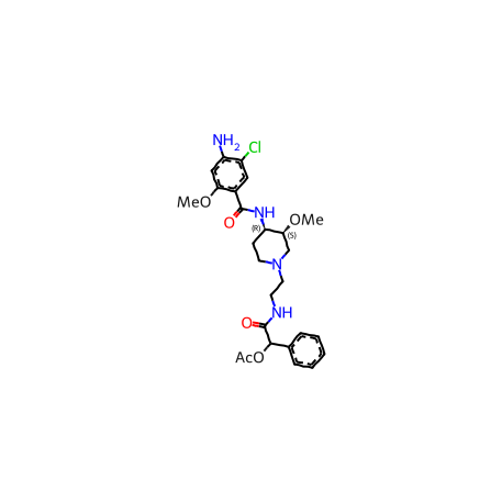 COc1cc(N)c(Cl)cc1C(=O)N[C@@H]1CCN(CCNC(=O)C(OC(C)=O)c2ccccc2)C[C@@H]1OC